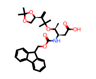 C=C([C@H]1COC(C)(C)O1)C(C)(C)O[C@@H](C)[C@@H](CC(=O)O)NC(=O)OCC1c2ccccc2-c2ccccc21